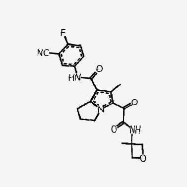 Cc1c(C(=O)Nc2ccc(F)c(C#N)c2)c2n(c1C(=O)C(=O)NC1(C)COC1)CCC2